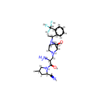 CC1CC(C#N)N(C(=O)C(N)CN2CC3CC2C(=O)N3C(C)c2ccccc2C(F)(F)F)C1